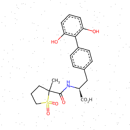 CC1(C(=O)N[C@@H](Cc2ccc(-c3c(O)cccc3O)cc2)C(=O)O)CCCS1(=O)=O